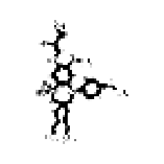 CCCCC1(CCCC)CN(c2ccc(OC)cc2)c2cc(SC)c(O/C=C(\F)C(=O)O)cc2S(O)(O)C1